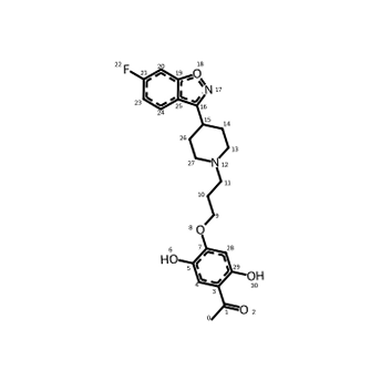 CC(=O)c1cc(O)c(OCCCN2CCC(c3noc4cc(F)ccc34)CC2)cc1O